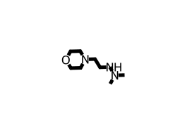 CN(C)NCCN1CCOCC1